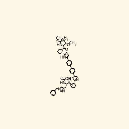 COC(=O)N[C@H](C(=O)N1CCC[C@H]1c1ncc(-c2ccc(-c3ccc(-c4cnc([C@@H]5CCCN5C(=O)[C@H](Cc5cn(Cc6ccccc6)cn5)NC(=O)O)[nH]4)cc3)cc2)[nH]1)[C@@H](C)OC